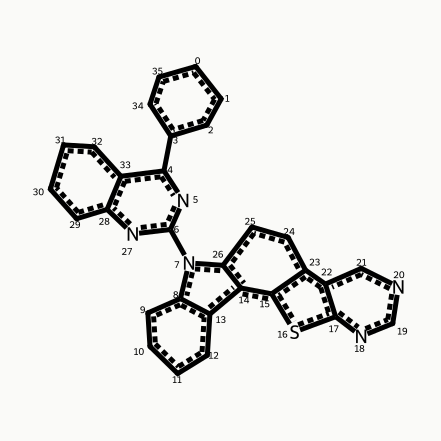 c1ccc(-c2nc(-n3c4ccccc4c4c5sc6ncncc6c5ccc43)nc3ccccc23)cc1